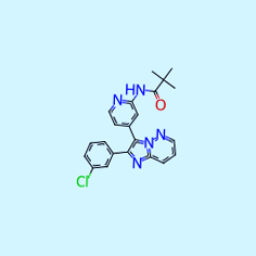 CC(C)(C)C(=O)Nc1cc(-c2c(-c3cccc(Cl)c3)nc3cccnn23)ccn1